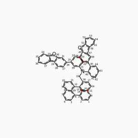 c1ccc(-c2cccc3cccc(-c4ccccc4CN(c4cccc(-c5ccc6c(c5)oc5ccccc56)c4)c4ccccc4-c4ccc5oc6ccccc6c5c4)c23)cc1